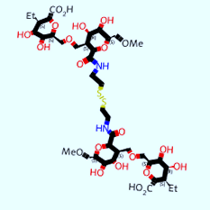 CC[C@@H]1C(C(=O)O)O[C@@H](COC[C@@H]2C(C(=O)NCCSSCCNC(=O)C3O[C@@H](COC)C(O)C(O)[C@@H]3COC[C@@H]3OC(C(=O)O)[C@@H](CC)[C@@H](O)C3O)O[C@@H](COC)C(O)[C@@H]2O)C(O)C1O